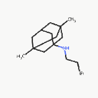 CC(C)CCNC12CC3CC(C)(CC(C)(C3)C1)C2